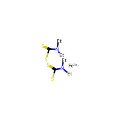 CCN(CC)C(=S)[S-].CCN(CC)C(=S)[S-].[Fe+3]